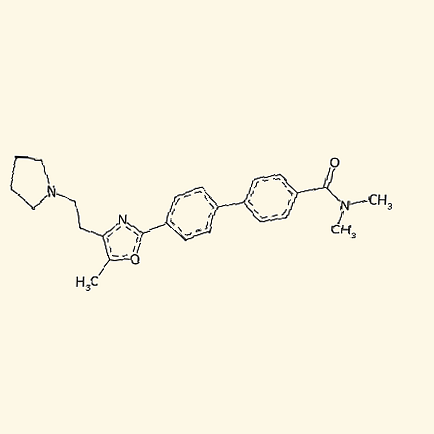 Cc1oc(-c2ccc(-c3ccc(C(=O)N(C)C)cc3)cc2)nc1CCN1CCCC1